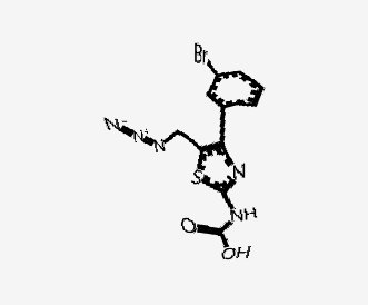 [N-]=[N+]=NCc1sc(NC(=O)O)nc1-c1cccc(Br)c1